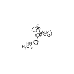 CC(=S)Nc1cccc(-c2ccc([C@@]3(CC(=O)NOC4CCCCO4)CCCCS3(=O)=O)s2)c1